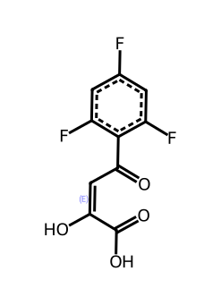 O=C(O)/C(O)=C\C(=O)c1c(F)cc(F)cc1F